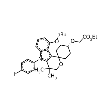 CCCCOc1cccc2c1c1c(n2-c2ccc(F)cc2)C(C)(C)CO[C@]12CC[C@@H](OCC(=O)OCC)CC2